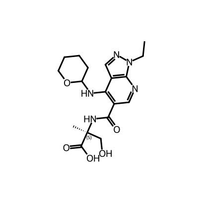 CCn1ncc2c(NC3CCCCO3)c(C(=O)N[C@@](C)(CO)C(=O)O)cnc21